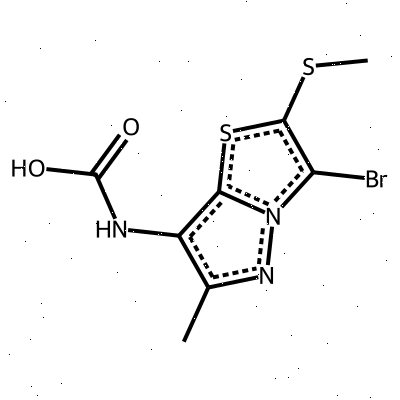 CSc1sc2c(NC(=O)O)c(C)nn2c1Br